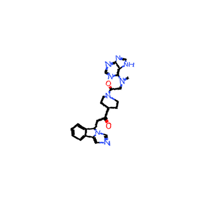 CN(CC(=O)N1CCC(C(=O)CC2c3ccccc3-c3cncn32)CC1)c1ncnc2nc[nH]c12